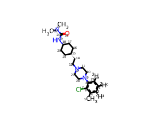 [2H]c1c([2H])c(C)c(Cl)c(N2CCN(CC[C@H]3CC[C@H](NC(=O)N(C)C)CC3)CC2)c1[2H]